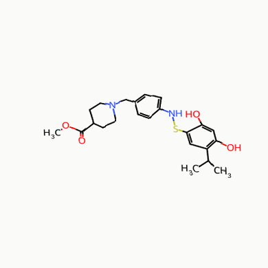 COC(=O)C1CCN(Cc2ccc(NSc3cc(C(C)C)c(O)cc3O)cc2)CC1